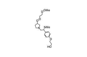 CNC(CN1CCC(OOCCOOC)C1)c1ccc(OCCO)cc1